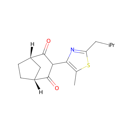 Cc1sc(CC(C)C)nc1C1C(=O)[C@@H]2CC[C@@H](C2)C1=O